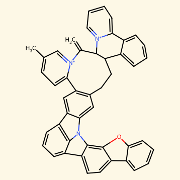 C=C1C2C(CCc3cc4c(cc3-c3ccc(C)c[n+]31)c1cccc3c5ccc6c7ccccc7oc6c5n4c13)c1ccccc1-c1cccc[n+]12